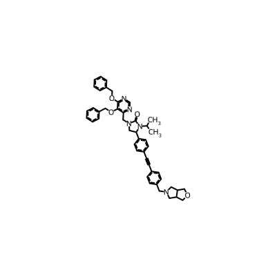 CC(C)N1C(=O)N(Cc2ncnc(OCc3ccccc3)c2OCc2ccccc2)CC1c1ccc(C#Cc2ccc(CN3CC4COCC4C3)cc2)cc1